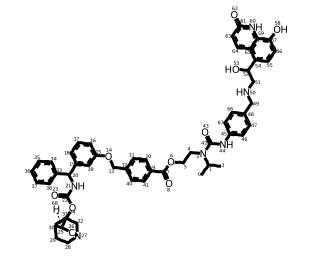 CC(C)N(CCOC(=O)c1ccc(COc2cccc(C(NC(=O)O[C@H]3CN4CCC3CC4)c3ccccc3)c2)cc1)C(=O)Nc1ccc(CNCC(O)c2ccc(O)c3[nH]c(=O)ccc23)cc1